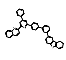 C1=Cc2sc3ccc(-c4cccc(-c5ccc(-c6cc(-c7ccccc7)nc(-c7ccc8ccccc8n7)n6)cc5)c4)cc3c2CC1